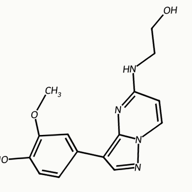 COc1cc(-c2cnn3ccc(NCCO)nc23)ccc1O